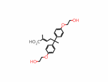 CC(=CCC(C)(c1ccc(OCCO)cc1)c1ccc(OCCO)cc1)C(=O)O